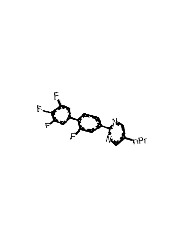 CCCc1cnc(-c2ccc(-c3cc(F)c(F)c(F)c3)c(F)c2)nc1